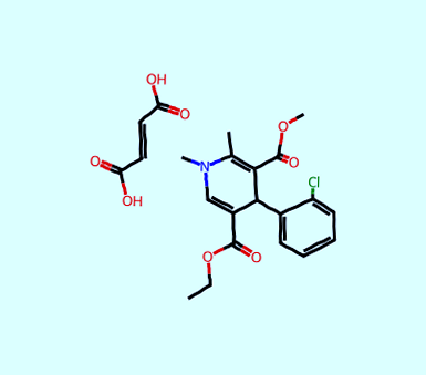 CCOC(=O)C1=CN(C)C(C)=C(C(=O)OC)C1c1ccccc1Cl.O=C(O)C=CC(=O)O